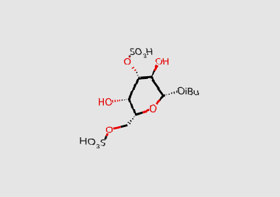 CC(C)CO[C@@H]1O[C@H](COS(=O)(=O)O)[C@H](O)[C@H](OS(=O)(=O)O)[C@H]1O